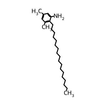 CCCCCCCCCCCCCCCCCCc1c(C)cc(C)cc1N